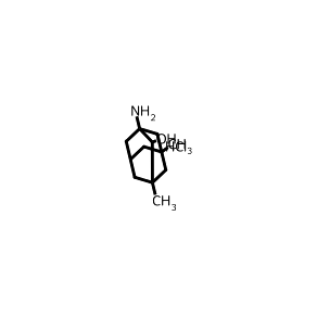 CC12CC3CC(C)(C1)C(O)C(N)(C3)C2.Cl